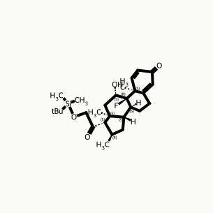 C[C@@H]1C[C@H]2[C@@H]3CCC4=CC(=O)C=C[C@]4(C)[C@@]3(F)[C@@H](O)C[C@]2(C)[C@H]1C(=O)CO[Si](C)(C)C(C)(C)C